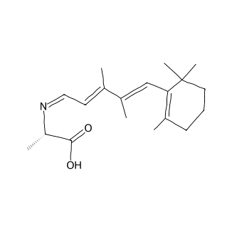 CC1=C(/C=C(C)/C(C)=C/C=N\[C@@H](C)C(=O)O)C(C)(C)CCC1